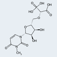 Cn1c(=O)ccn([C@@H]2O[C@H](CO[C@@H](C(=O)O)P(=O)(O)O)[C@@H](O)[C@H]2O)c1=O